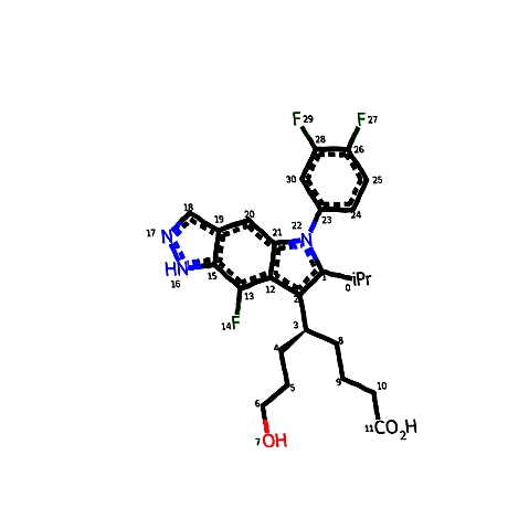 CC(C)c1c([C@H](CCCO)CCCC(=O)O)c2c(F)c3[nH]ncc3cc2n1-c1ccc(F)c(F)c1